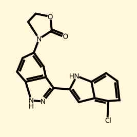 O=C1OCCN1c1ccc2[nH]nc(-c3cc4c(Cl)cccc4[nH]3)c2c1